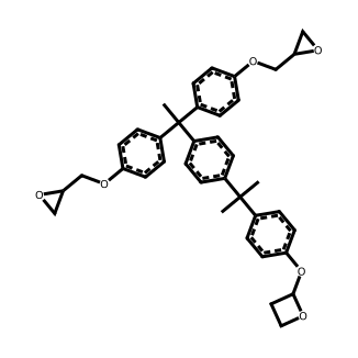 CC(C)(c1ccc(OC2CCO2)cc1)c1ccc(C(C)(c2ccc(OCC3CO3)cc2)c2ccc(OCC3CO3)cc2)cc1